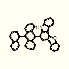 c1ccc2c(-c3c4ccccc4c(-c4cc5c6ccccc6oc5c5c4[nH]c4ccccc45)c4ccccc34)cccc2c1